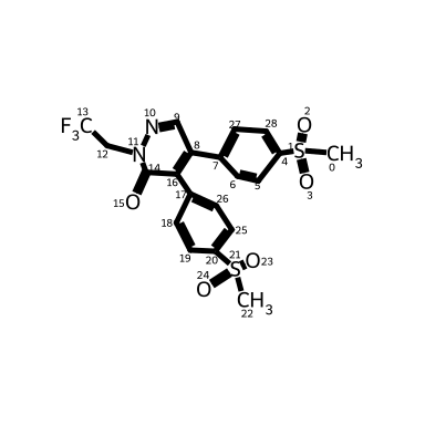 CS(=O)(=O)c1ccc(-c2cnn(CC(F)(F)F)c(=O)c2-c2ccc(S(C)(=O)=O)cc2)cc1